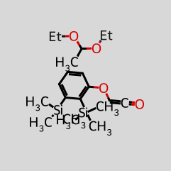 CCOC(C)OCC.C[Si](C)(C)c1cccc(OC=C=O)c1[Si](C)(C)C